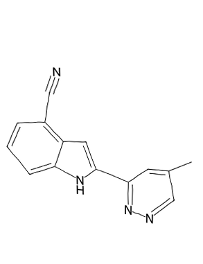 Cc1cnnc(-c2cc3c(C#N)cccc3[nH]2)c1